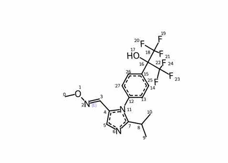 CO/N=C/c1cnc(C(C)C)n1-c1ccc(C(O)(C(F)(F)F)C(F)(F)F)cc1